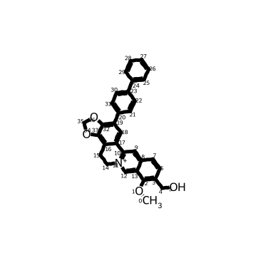 COc1c(CO)ccc2cc3[n+](cc12)CCc1c-3cc(-c2ccc(-c3ccccc3)cc2)c2c1OCO2